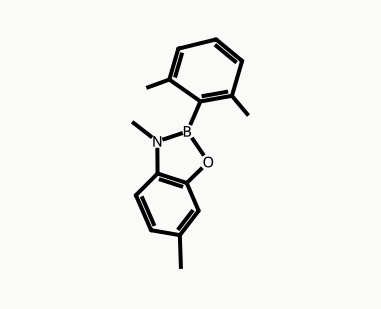 Cc1ccc2c(c1)OB(c1c(C)cccc1C)N2C